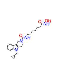 O=C(CCCCCCNC(=O)N1CCc2c(c3ccccc3n2CC2CC2)C1)NO